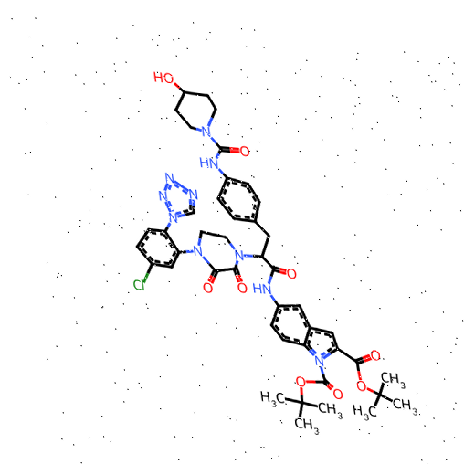 CC(C)(C)OC(=O)c1cc2cc(NC(=O)C(Cc3ccc(NC(=O)N4CCC(O)CC4)cc3)N3CCN(c4cc(Cl)ccc4-n4cnnn4)C(=O)C3=O)ccc2n1C(=O)OC(C)(C)C